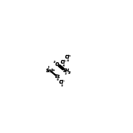 C[CH2][Sn+3].O=[SH2].[Cl-].[Cl-].[Cl-]